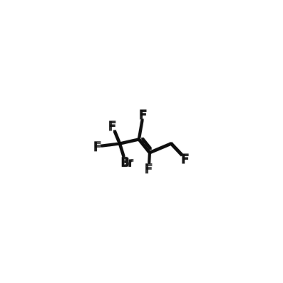 FCC(F)=C(F)C(F)(F)Br